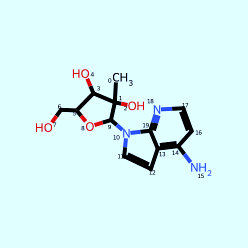 CC1(O)C(O)C(CO)OC1n1ccc2c(N)ccnc21